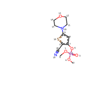 COP(=O)(OC)Oc1cc(N2CCOCC2)sc1C#N